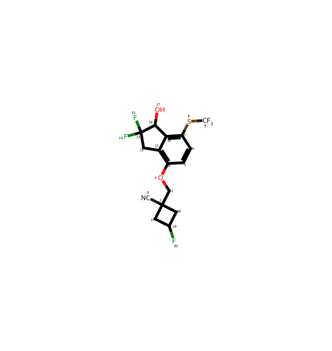 N#CC1(COc2ccc(SC(F)(F)F)c3c2CC(F)(F)C3O)CC(F)C1